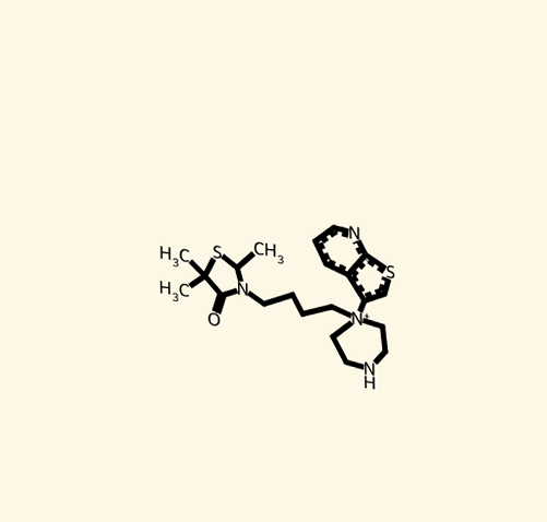 CC1SC(C)(C)C(=O)N1CCCC[N+]1(c2csc3ncccc23)CCNCC1